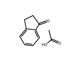 CC(=O)O.O=C1CCc2ccccc21